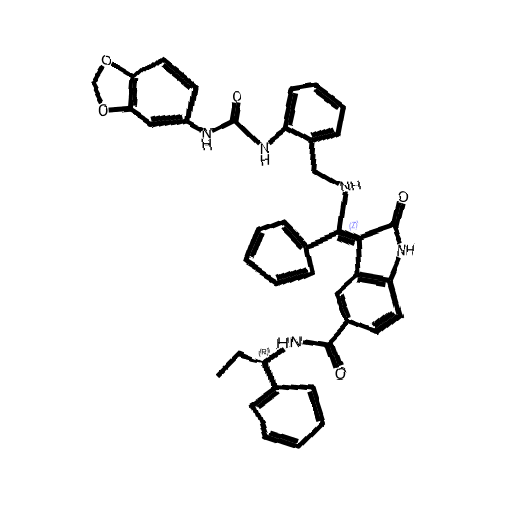 CC[C@@H](NC(=O)c1ccc2c(c1)/C(=C(/NCc1ccccc1NC(=O)Nc1ccc3c(c1)OCO3)c1ccccc1)C(=O)N2)c1ccccc1